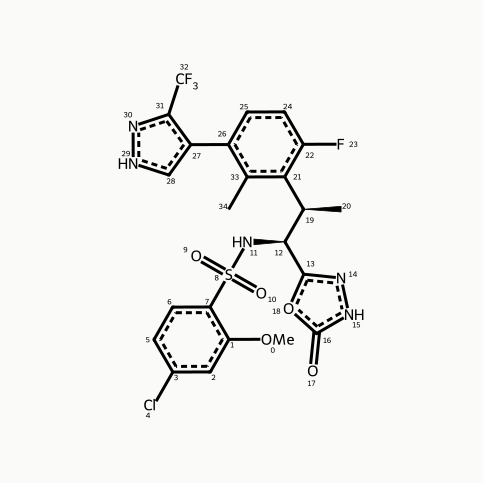 COc1cc(Cl)ccc1S(=O)(=O)N[C@H](c1n[nH]c(=O)o1)[C@H](C)c1c(F)ccc(-c2c[nH]nc2C(F)(F)F)c1C